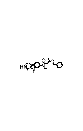 C=CN(C(=O)/C=C(\C)OCc1ccccc1)c1ccc2c3c(n(C)c2c1)C(C)NCC3